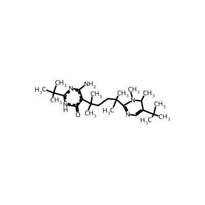 CC1C(C(C)(C)C)=CN=C(C(C)(C)CCC(C)(C)c2c(N)nc(C(C)(C)C)[nH]c2=O)N1C